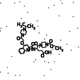 CCOC(=O)N1CCN(C(=O)C(CCC(=O)O)NC(=O)c2cc(OCC(=O)N3CCN(C(C)C)CC3)c3ccccc3n2)CC1